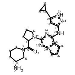 N[C@@H]1CCCN(C(=O)C2CCCN2c2nc(Nc3cc(C4CC4)[nH]n3)c3cccn3n2)C1